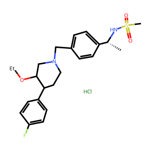 CCOC1CN(Cc2ccc([C@@H](C)NS(C)(=O)=O)cc2)CCC1c1ccc(F)cc1.Cl